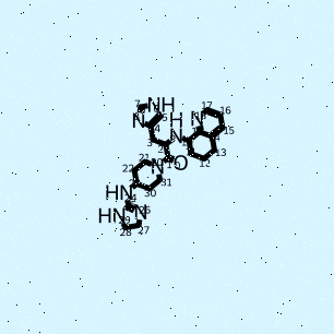 O=C(C(Cc1c[nH]cn1)NC1CCCc2cccnc21)N1CCC(NC2=NCCN2)CC1